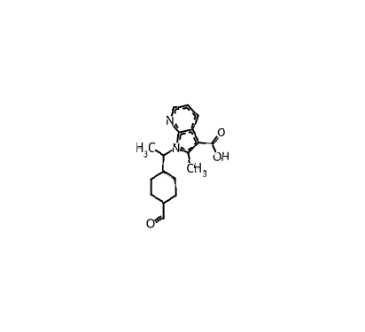 Cc1c(C(=O)O)c2cccnc2n1C(C)C1CCC(C=O)CC1